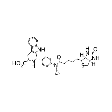 O=C1N[C@H]2[C@H](CS[C@H]2CCCCC(=O)N(c2ccc([C@@H]3N[C@@H](C(=O)O)Cc4c3[nH]c3ccccc43)cc2)C2CC2)N1